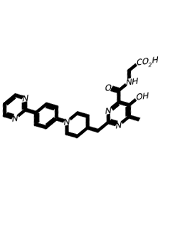 Cc1nc(CC2CCN(c3ccc(-c4ncccn4)cc3)CC2)nc(C(=O)NCC(=O)O)c1O